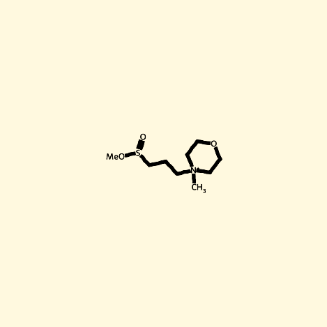 COS(=O)CCC[N+]1(C)CCOCC1